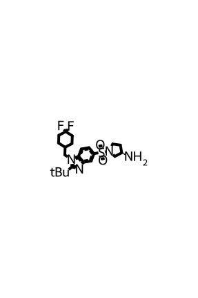 CC(C)(C)c1nc2cc(S(=O)(=O)N3CC[C@H](N)C3)ccc2n1CC1CCC(F)(F)CC1